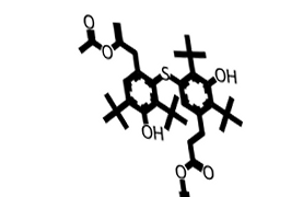 C#COC(=O)CCc1cc(Sc2c(CC(=C)OC(C)=O)cc(C(C)(C)C)c(O)c2C(C)(C)C)c(C(C)(C)C)c(O)c1C(C)(C)C